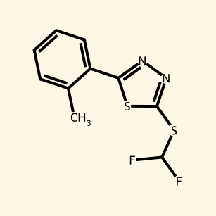 Cc1ccccc1-c1nnc(SC(F)F)s1